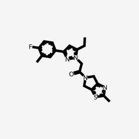 CCc1cc(-c2ccc(F)c(C)c2)nn1CC(=O)N1Cc2nc(C)sc2C1